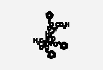 CN(C(=O)OCc1ccccc1)C(=NC(=O)OCc1ccccc1)NCCC[C@@H](CC(=O)O)C(=O)OCc1ccccc1